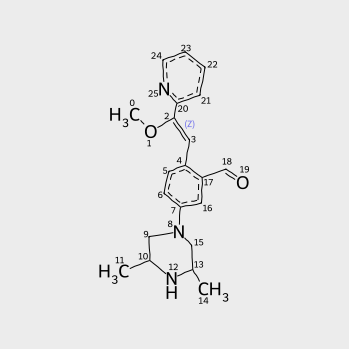 CO/C(=C\c1ccc(N2CC(C)NC(C)C2)cc1C=O)c1ccccn1